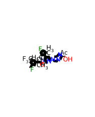 CC(=O)N1CC2CN(c3cc(-c4ccc(F)cc4C)c(N(C)C(=O)C(C)(C)c4cc(CF)cc(C(F)(F)F)c4)cn3)CCN2C[C@@H]1CO